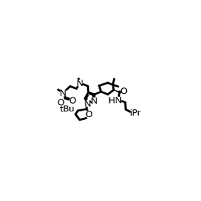 CC(C)CCNC(=O)[C@H]1CC(c2nn(C3CCCCO3)cc2CN(C)CCN(C)C(=O)OC(C)(C)C)CCC1(C)C